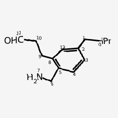 CC(C)Cc1ccc(CN)c(CCC=O)c1